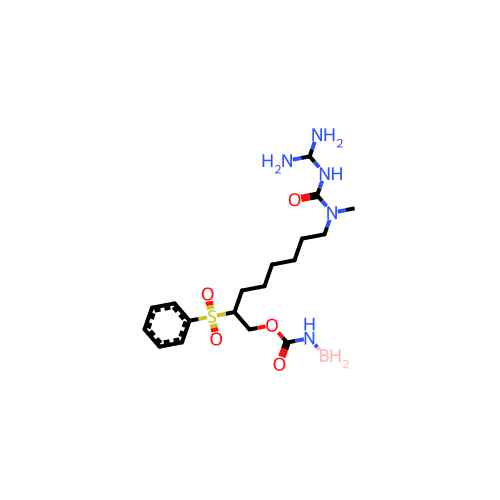 BNC(=O)OCC(CCCCCCN(C)C(=O)NC(N)N)S(=O)(=O)c1ccccc1